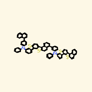 c1ccc(N(c2cccc(-c3cccc4c3ccc3sc5c(ccc6sc7c(N(c8ccccc8)c8ccc(-c9cccc%10ccccc9%10)cc8)cccc7c65)c34)c2)c2cccc3c2sc2ccc4c(sc5ccc6ccccc6c54)c23)cc1